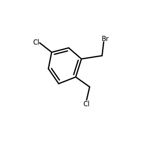 ClCc1ccc(Cl)cc1CBr